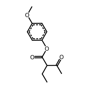 CCC(C(C)=O)C(=O)Oc1ccc(OC)cc1